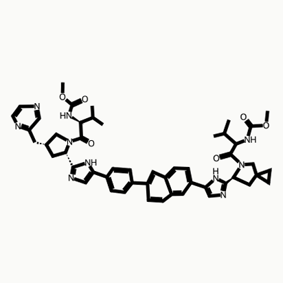 COC(=O)NC(C(=O)N1CC2(CC2)C[C@H]1c1ncc(-c2ccc3cc(-c4ccc(-c5cnc([C@@H]6C[C@H](Cc7cnccn7)CN6C(=O)[C@@H](NC(=O)OC)C(C)C)[nH]5)cc4)ccc3c2)[nH]1)C(C)C